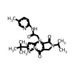 Cc1ccc(NC(=O)Cn2c3c(c(=O)n4nc(C(C)(C)C)cc24)CN(C(C)C)C3=O)nc1